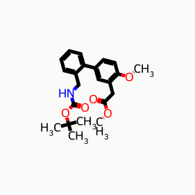 COC(=O)Cc1cc(-c2ccccc2CNC(=O)OC(C)(C)C)ccc1OC